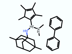 CC1=C(C)C(C)[C]([Hf]([NH]C23CC4CC(C)(CC(C)(C4)C2)C3)[SiH](C)C)=C1C.c1ccc(-c2ccccc2)cc1